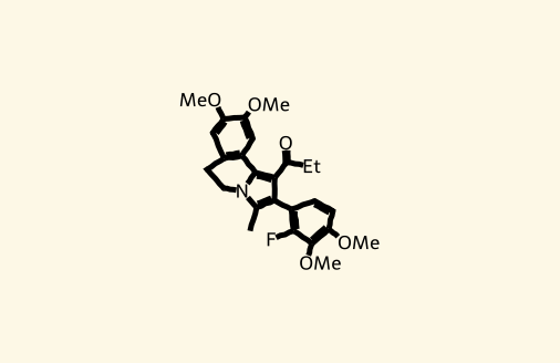 CCC(=O)c1c(-c2ccc(OC)c(OC)c2F)c(C)n2c1-c1cc(OC)c(OC)cc1CC2